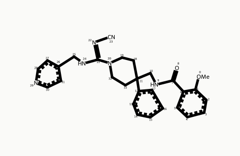 COc1ccccc1C(=O)NCC1(c2ccccc2)CCN(/C(=N\C#N)NCc2ccncc2)CC1